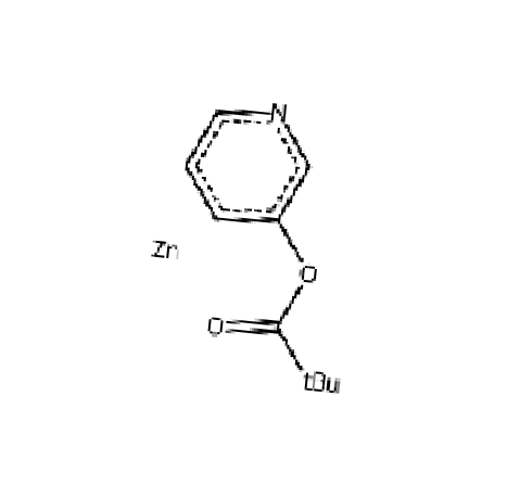 CC(C)(C)C(=O)Oc1cccnc1.[Zn]